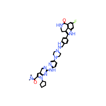 CN(C)C(=O)c1cc2cnc(Nc3ccc(N4CCN(NCc5ccc(-c6[nH]c7cc(F)cc8c7c6CCNC8=O)cc5)CC4)cn3)nc2n1C1CCCC1